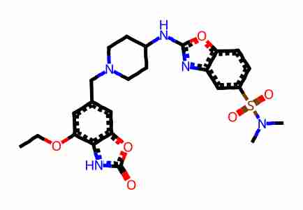 CCOc1cc(CN2CCC(Nc3nc4cc(S(=O)(=O)N(C)C)ccc4o3)CC2)cc2oc(=O)[nH]c12